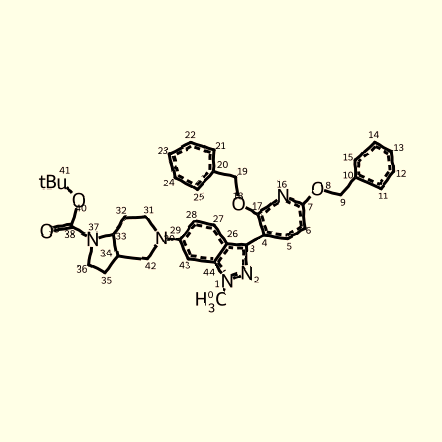 Cn1nc(-c2ccc(OCc3ccccc3)nc2OCc2ccccc2)c2ccc(N3CCC4C(CCN4C(=O)OC(C)(C)C)C3)cc21